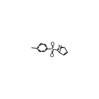 Cc1ccc(S(=O)(=O)C2=NC3C=CC2C3)cc1